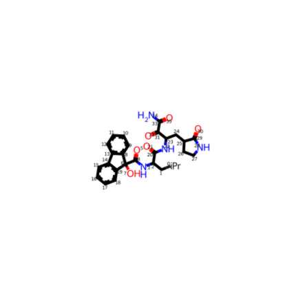 CC(C)CC(NC(=O)C1(O)c2ccccc2-c2ccccc21)C(=O)NC(CC1CCNC1=O)C(=O)C(N)=O